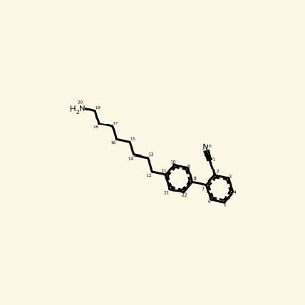 N#Cc1ccccc1-c1ccc(CCCCCCCCN)cc1